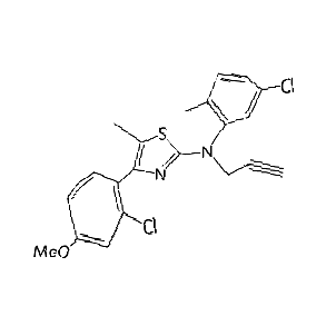 C#CCN(c1nc(-c2ccc(OC)cc2Cl)c(C)s1)c1cc(Cl)ccc1C